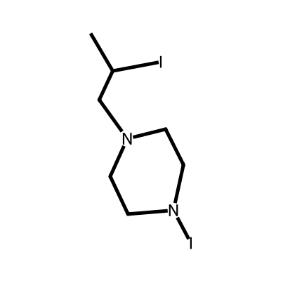 CC(I)CN1CCN(I)CC1